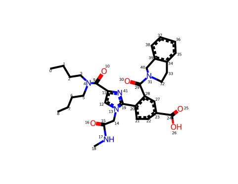 CCCCN(CCCC)C(=O)c1cn(CC(=O)NC)c(-c2ccc(C(=O)O)cc2C(=O)N2CCc3ccccc3C2)n1